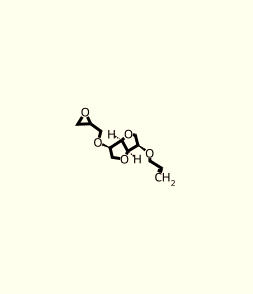 C=CCO[C@@H]1CO[C@H]2[C@@H]1OC[C@H]2OCC1CO1